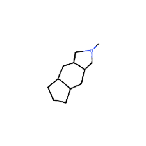 CN1CC2CC3CCCC3CC2C1